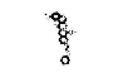 COc1ccc2ncc(F)c([C@H](F)CCC3CCN(CCSC4CCCCC4)CC3C(=O)O)c2c1